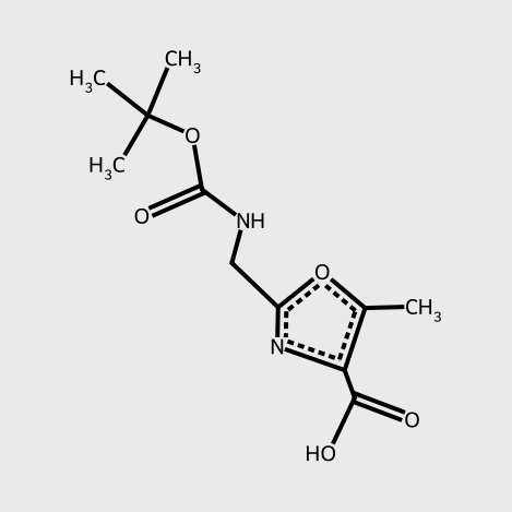 Cc1oc(CNC(=O)OC(C)(C)C)nc1C(=O)O